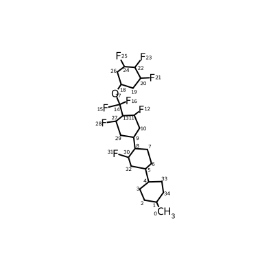 CC1CCC(C2CCC(C3CC(F)C(C(F)(F)OC4CC(F)C(F)C(F)C4)C(F)C3)C(F)C2)CC1